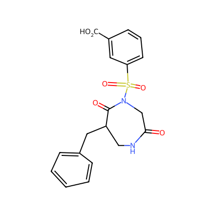 O=C1CN(S(=O)(=O)c2cccc(C(=O)O)c2)C(=O)C(Cc2ccccc2)CN1